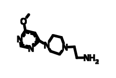 COc1cc(N2CCN(CCN)CC2)ncn1